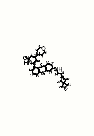 O=c1cc(N2CCOCC2)cc(-c2cccc3c2Sc2ccc(NCCN4CC5(COC5)C4)cc2S3)[nH]1